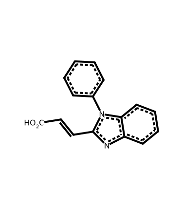 O=C(O)/C=C/c1nc2ccccc2n1-c1ccccc1